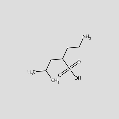 CC(C)CC(CCN)S(=O)(=O)O